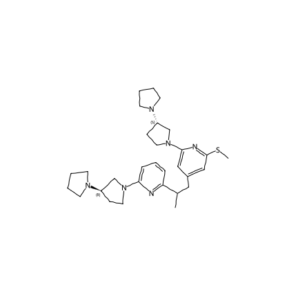 CSc1cc(CC(C)c2cccc(N3CC[C@@H](N4CCCC4)C3)n2)cc(N2CC[C@H](N3CCCC3)C2)n1